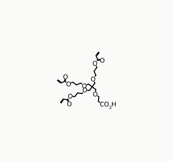 C=CC(=O)OCCCOCC(COCCCOC(=O)C=C)(COCCCOC(=O)C=C)COCCC(=O)O